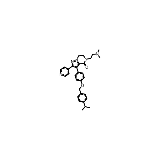 CC(C)c1ccc(COc2ccc(-c3c(-c4ccncc4)nn4c3C(=O)N(CCN(C)C)CC4)cc2)cc1